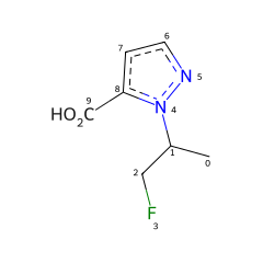 CC(CF)n1nccc1C(=O)O